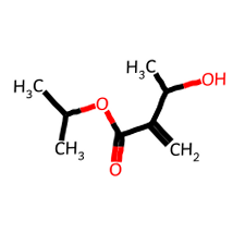 C=C(C(=O)OC(C)C)C(C)O